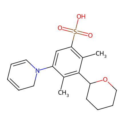 Cc1c(N2C=CC=CC2)cc(S(=O)(=O)O)c(C)c1C1CCCCO1